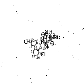 NS(=O)(=O)c1nn2c(-c3ccc(Cl)cc3)c(-c3ccccc3Cl)cnc2c1C(=O)[NH][Ru]